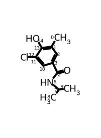 Cc1cc(C(=O)NC(C)C)cc(Cl)c1O